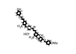 COc1ccc(COc2ccc(Oc3c(C)cc(/C=C/C(=O)N4CCN(Cc5ccc(/C=C/COc6ccc(C)cc6)cc5C)CC4)cc3C)nc2)cc1.Cl